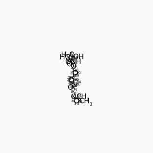 Cc1cccc(OCCCC(=O)N2CCCc3c(-c4cccc(COC(=O)N[C@@H](C(=O)O)[C@@H](C)O)c4)cccc32)c1C